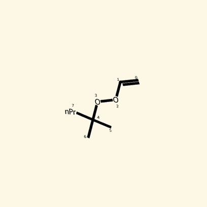 C=COOC(C)(C)CCC